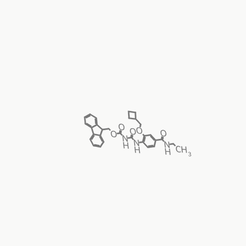 CCNC(=O)c1ccc(NC(=O)NC(=O)OCC2c3ccccc3-c3ccccc32)c(OCC2CCC2)c1